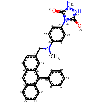 CN(Cc1ccc2cc3ccccc3c(-c3ccccc3)c2c1)c1ccc(-n2c(=O)[nH][nH]c2=O)cc1